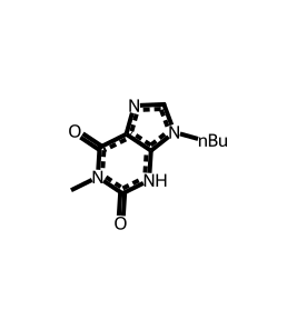 CCCCn1cnc2c(=O)n(C)c(=O)[nH]c21